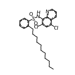 CCCCCCCCCCCc1ccccc1S(=O)(=O)Nc1c(Cl)cc(Cl)c2cccnc12